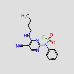 CCCCNc1nc(N(c2ccccc2)S(=O)(=O)F)ncc1C#N